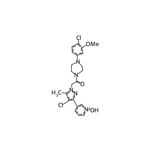 COc1cc(N2CCN(C(=O)Cn3nc(-c4ccc[n+](O)c4)c(Cl)c3C)CC2)ccc1Cl